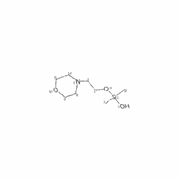 C[Si](C)(O)OCCN1CCOCC1